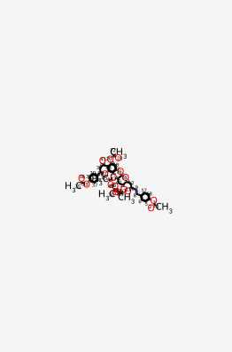 CC(=O)Oc1ccc(/C=C/C(=O)CC2OC(Oc3cc(OC(C)=O)c4c(c3)O[C@@H](c3ccc(OC(C)=O)cc3)CC4=O)C(OC(C)=O)C(OC(C)=O)C2OC(C)=O)cc1